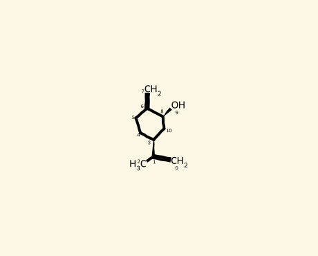 C=C(C)[C@H]1CCC(=C)[C@@H](O)C1